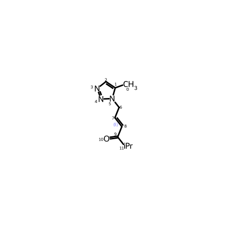 Cc1cnnn1C/C=C/C(=O)C(C)C